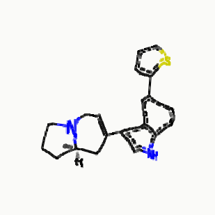 C1=C(c2c[nH]c3ccc(-c4cccs4)cc23)C[C@H]2CCCN2C1